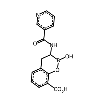 O=C(NC1Cc2cccc(C(=O)O)c2OB1O)c1cccnc1